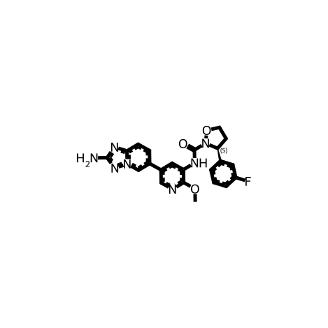 COc1ncc(-c2ccc3nc(N)nn3c2)cc1NC(=O)N1OCC[C@H]1c1cccc(F)c1